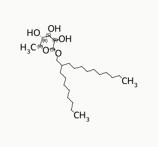 CCCCCCCCCCC(CCCCCCCC)CO[C@H]1O[C@H](C)[C@H](O)[C@H](O)[C@H]1O